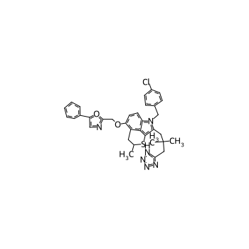 CC1Cc2c(OCc3ncc(-c4ccccc4)o3)ccc3c2c(c(CC(C)(C)Cc2nnn[nH]2)n3Cc2ccc(Cl)cc2)S1